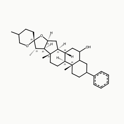 CC1CC[C@@]2(OC1)O[C@H]1C[C@H]3[C@@H]4CC(O)C5CC(c6ccccc6)CC[C@]5(C)[C@H]4CC[C@]3(C)[C@H]1[C@@H]2C